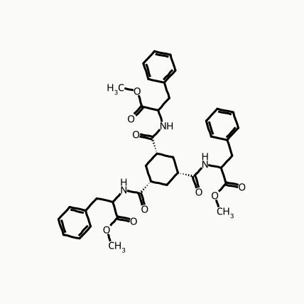 COC(=O)C(Cc1ccccc1)NC(=O)[C@H]1C[C@@H](C(=O)NC(Cc2ccccc2)C(=O)OC)C[C@@H](C(=O)NC(Cc2ccccc2)C(=O)OC)C1